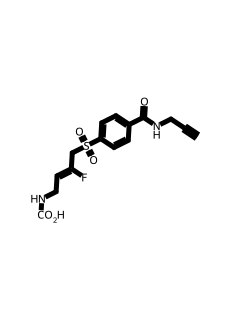 C#CCNC(=O)c1ccc(S(=O)(=O)C/C(F)=C/CNC(=O)O)cc1